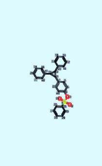 O=S(=O)(Oc1ccc(C2C(c3ccccc3)C2c2ccccc2)cc1)c1ccccc1